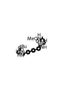 COC(=O)N[C@@H]1C(=O)N2[C@H](CC[C@H]2c2nc3cc(-c4ccc(-c5ccc(-c6c[nH]c([C@@H]7CC[C@H](C)N7C(=O)OC(C)(C)C)n6)cc5)cc4)ccc3[nH]2)CC1C